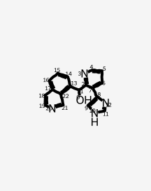 OC(c1ncccc1-c1c[nH]cn1)c1cccc2ccncc12